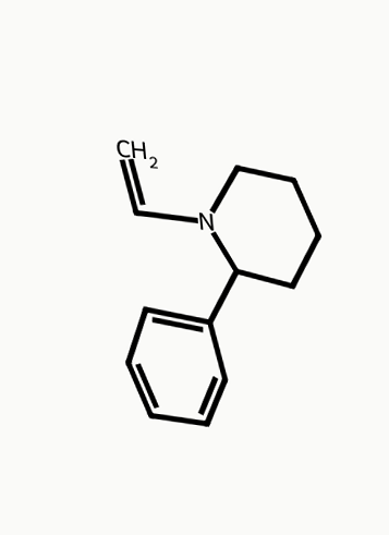 C=CN1CCCCC1c1ccccc1